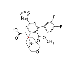 COC(=O)c1c(CN2C3COCC2CC(CC(=O)O)C3)nc(-c2nccs2)nc1-c1ccc(F)c(F)c1